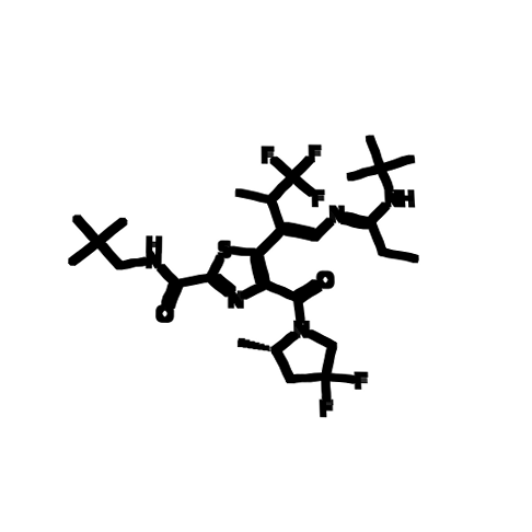 CC/C(=N\C=C(\c1sc(C(=O)NCC(C)(C)C)nc1C(=O)N1CC(F)(F)C[C@@H]1C)C(C)C(F)(F)F)NC(C)(C)C